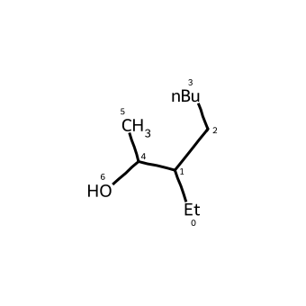 [CH2]CC(CCCCC)C(C)O